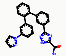 NC(=O)c1nc(-c2cccc(-c3ccccc3-c3cccc(-n4cccn4)c3)c2)n[nH]1